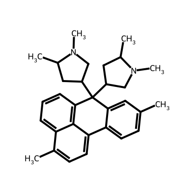 Cc1ccc2c(c1)C(C1CC(C)N(C)C1)(C1CC(C)N(C)C1)c1cccc3c(C)ccc-2c13